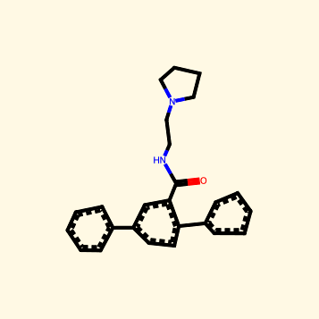 O=C(NCCN1CCCC1)c1cc(-c2ccccc2)ccc1-c1ccccc1